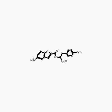 COc1ccc2oc(C(=O)NC(Cc3ccc(C)cc3)C(=O)O)cc2c1